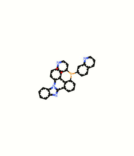 c1cnc2cc(P(c3ccncc3)c3cccc4c3c3ccccc3n3c5ccccc5nc43)ccc2c1